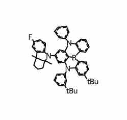 CC(C)(C)c1cccc(N2c3cc(C(C)(C)C)ccc3B3c4ccccc4N(c4ccccc4)c4cc(N5c6ccc(F)cc6C6(C)CCCC56C)cc2c43)c1